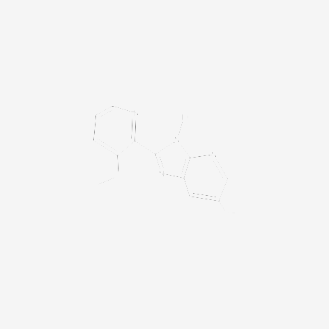 CCSc1cccnc1-c1nc2cc(C(F)(F)F)cnc2n1CC